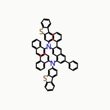 c1ccc(-c2cc(N(c3ccc4c(c3)sc3ccccc34)c3cccc4ccccc34)c3cc(N(c4ccc5c(c4)sc4ccccc45)c4cccc5ccccc45)c(-c4ccccc4)cc3c2)cc1